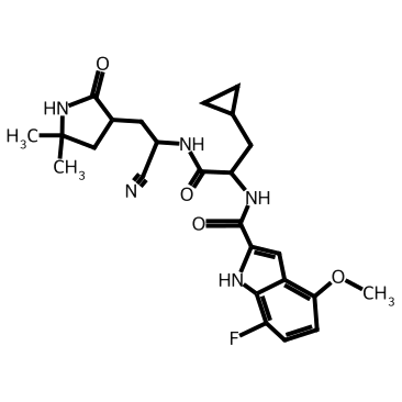 COc1ccc(F)c2[nH]c(C(=O)NC(CC3CC3)C(=O)NC(C#N)CC3CC(C)(C)NC3=O)cc12